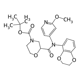 COc1cc(N(C(=O)C2CN(C(=O)OC(C)(C)C)CCO2)c2cccc3c2OCCO3)ccn1